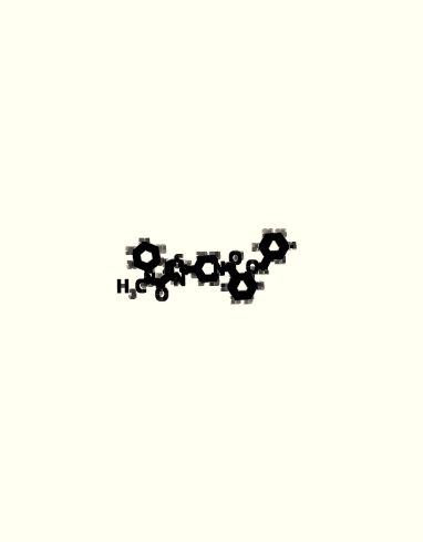 CN(C(=O)c1csc(C2CCN(C(=O)c3ccccc3OCc3ccccc3)CC2)n1)C1CCCCC1